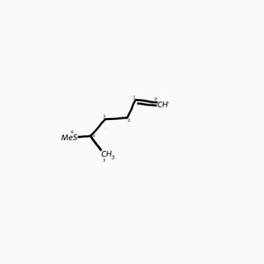 [CH]=CCCC(C)SC